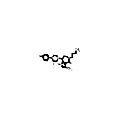 CCCCN1CCC(N2CCN(c3ccc(F)cc3)CC2)c2c(c(C)cn2C)C1=O